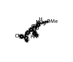 COCCOCCNc1ccc(S(=O)(=O)NC(=O)c2ccc(N3CCN(CC4=C(c5ccc(Cl)cc5)CC5(CCC5)CC4)CC3)cc2Oc2cnc3[nH]ccc3c2)cc1[N+](=O)[O-]